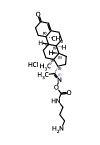 C/C(=N\OC(=O)NCCCN)[C@H]1CC[C@H]2[C@@H]3CCC4=CC(=O)CC[C@]4(C)[C@H]3CC[C@]12C.Cl